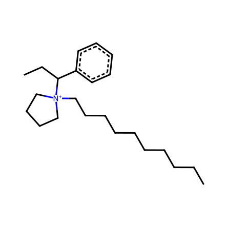 CCCCCCCCCC[N+]1(C(CC)c2ccccc2)CCCC1